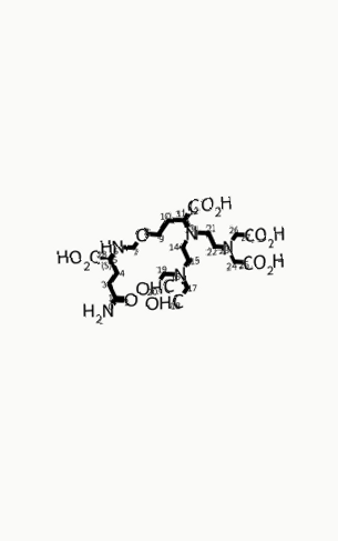 NC(=O)CC[C@H](NCOCCC(C(=O)O)N(CCN(CC=O)CC=O)CCN(CC(=O)O)CC(=O)O)C(=O)O